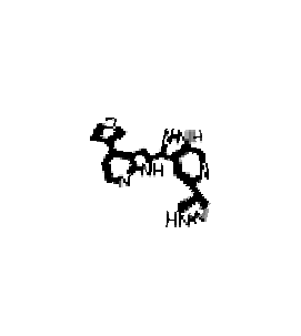 c1cc(-c2ccoc2)c2cc(-c3n[nH]c4cnc(-c5cn[nH]c5)cc34)[nH]c2n1